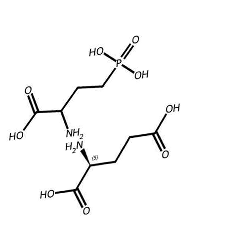 NC(CCP(=O)(O)O)C(=O)O.N[C@@H](CCC(=O)O)C(=O)O